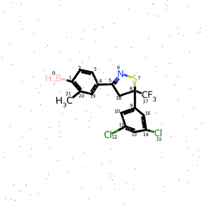 Bc1ccc(C2=NSC(c3cc(Cl)cc(Cl)c3)(C(F)(F)F)C2)cc1C